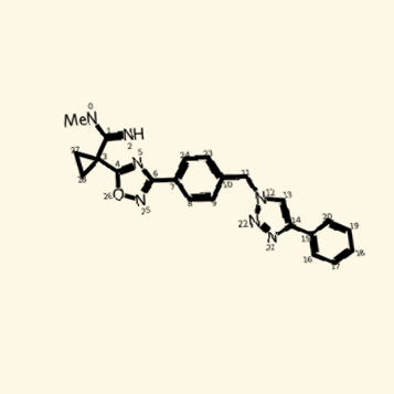 CNC(=N)C1(c2nc(-c3ccc(Cn4cc(-c5ccccc5)nn4)cc3)no2)CC1